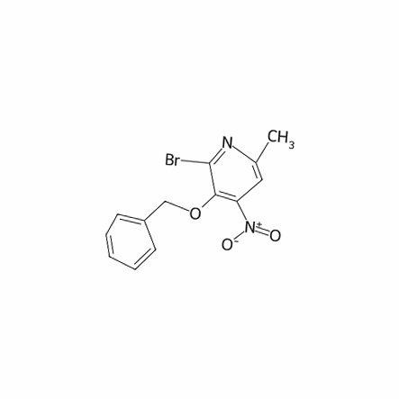 Cc1cc([N+](=O)[O-])c(OCc2ccccc2)c(Br)n1